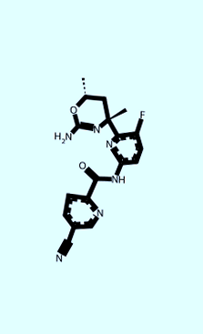 C[C@@H]1C[C@](C)(c2nc(NC(=O)c3ccc(C#N)cn3)ccc2F)N=C(N)O1